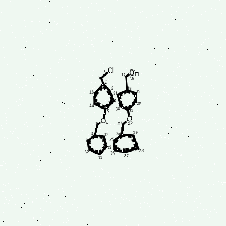 ClCc1ccc(OCc2ccccc2)cc1.OCc1ccc(OCc2ccccc2)cc1